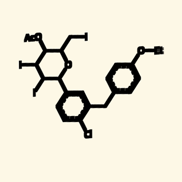 CCOc1ccc(Cc2cc(C3OC(CI)C(OC(C)=O)C(I)C3I)ccc2Cl)cc1